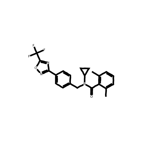 Cc1cccc(C)c1C(=O)N(Cc1ccc(-c2noc(C(F)(F)F)n2)cc1)C1CC1